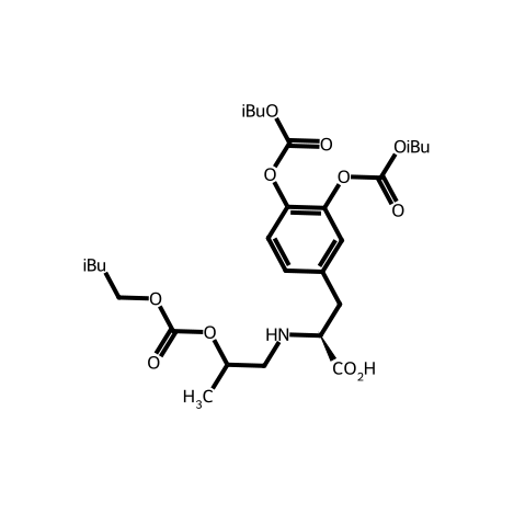 CCC(C)COC(=O)OC(C)CN[C@@H](Cc1ccc(OC(=O)OCC(C)C)c(OC(=O)OCC(C)C)c1)C(=O)O